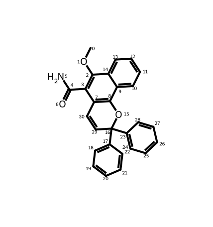 COc1c(C(N)=O)c2c(c3ccccc13)OC(c1ccccc1)(c1ccccc1)C=C2